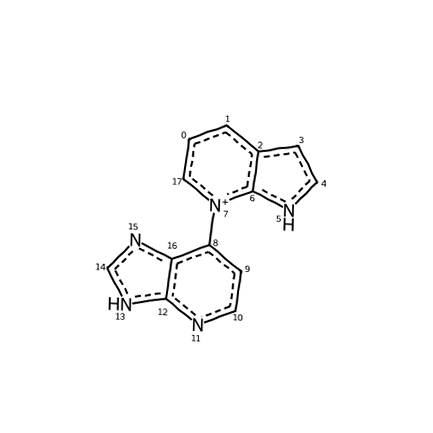 c1cc2cc[nH]c2[n+](-c2ccnc3[nH]cnc23)c1